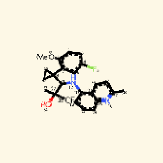 COc1ccc(F)cc1C1(C(Nc2cccc3nc(C)ccc23)C(C)(O)C(F)(F)F)CC1